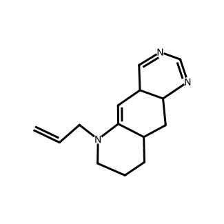 C=CCN1CCCC2CC3N=CN=CC3C=C21